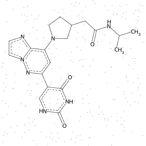 CC(C)NC(=O)CC1CCN(c2cc(-c3c[nH]c(=O)[nH]c3=O)nn3ccnc23)C1